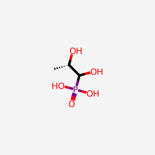 C[C@H](O)C(O)P(=O)(O)O